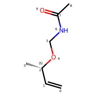 C=C[C@H](C)OCNC(C)=O